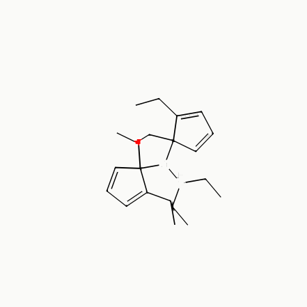 CCC1=CC=C[C]1(CC)[Zr+2]([SiH](CC)CC)[C]1(CC)C=CC=C1CC.[F-].[F-]